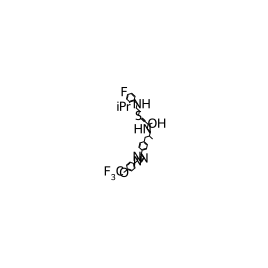 CC(CNC(O)C#CSCCNc1ccc(F)cc1C(C)C)Cc1ccc(-c2ncn(-c3ccc(OC(F)(F)F)cc3)n2)cc1